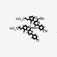 CCCC[C@H](Oc1ccc(CCC(=O)O)c(C)c1)c1cccc(-c2ccc(C#N)cc2)n1.CCCC[C@H](Oc1ccc(CCC(=O)O)c(C)c1)c1cccc(-c2ccc(Cl)cc2)n1